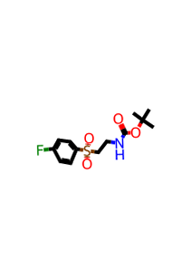 CC(C)(C)OC(=O)NCCS(=O)(=O)c1ccc(F)cc1